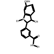 CCNC(=O)c1cccc(C2C(C#N)c3ccc(OC)cc3N2CC)c1